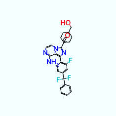 Nc1nccn2c(C34CCC(CO)(CC3)OC4)nc(-c3ccc(C(F)(F)c4ccccc4)cc3F)c12